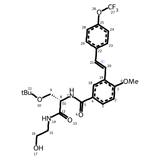 COc1ccc(C(=O)N[C@@H](COC(C)(C)C)C(=O)NCCO)cc1/C=C/c1ccc(OC(F)(F)F)cc1